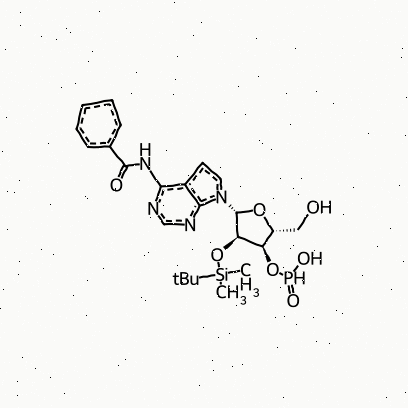 CC(C)(C)[Si](C)(C)O[C@@H]1[C@H](O[PH](=O)O)[C@@H](CO)O[C@H]1n1ccc2c(NC(=O)c3ccccc3)ncnc21